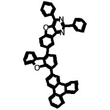 c1ccc(-c2nc(-c3ccccc3)c3oc4ccc(-c5ccc(-c6ccc7c8ccccc8c8ccccc8c7c6)c6oc7ccccc7c56)cc4c3n2)cc1